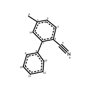 Cc1ccc(C#N)c(-c2ccccc2)c1